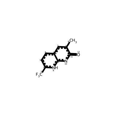 Cc1cc2ccc(C(F)(F)F)[nH]c-2nc1=O